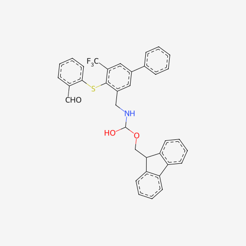 O=Cc1ccccc1Sc1c(CNC(O)OCC2c3ccccc3-c3ccccc32)cc(-c2ccccc2)cc1C(F)(F)F